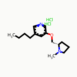 CCCCc1cncc(OC[C@@H]2CCCN2C)c1.Cl.Cl